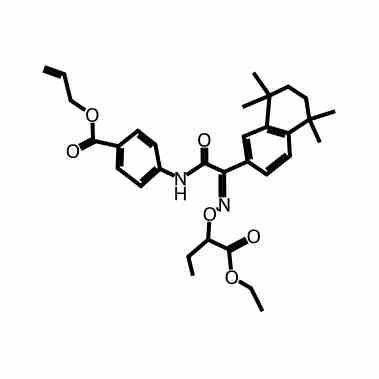 C=CCOC(=O)c1ccc(NC(=O)C(=NOC(CC)C(=O)OCC)c2ccc3c(c2)C(C)(C)CCC3(C)C)cc1